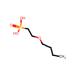 CCCCOCCP(=O)(O)O